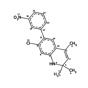 CC1=CC(C)(C)Nc2cc(Cl)c(-c3cccc([N+](=O)[O-])c3)cc21